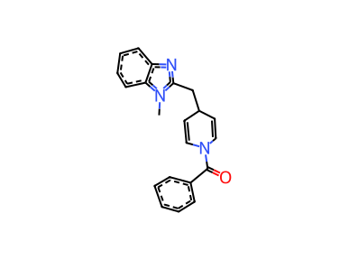 Cn1c(CC2C=CN(C(=O)c3ccccc3)C=C2)nc2ccccc21